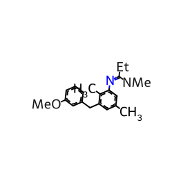 CCC(=Nc1cc(C)cc(Cc2cccc(OC)c2)c1C)NC